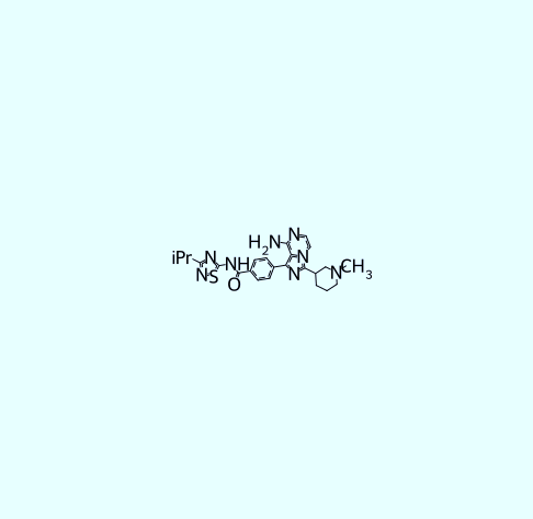 CC(C)c1nsc(NC(=O)c2ccc(-c3nc(C4CCCN(C)C4)n4ccnc(N)c34)cc2)n1